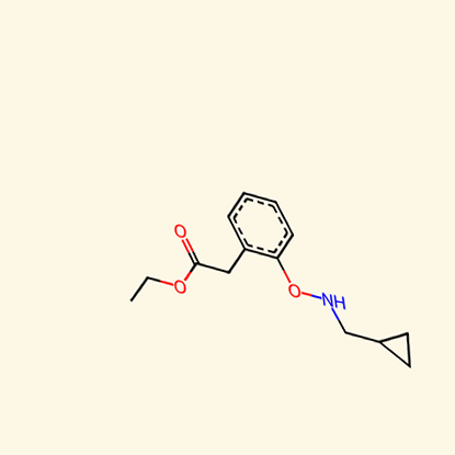 CCOC(=O)Cc1ccccc1ONCC1CC1